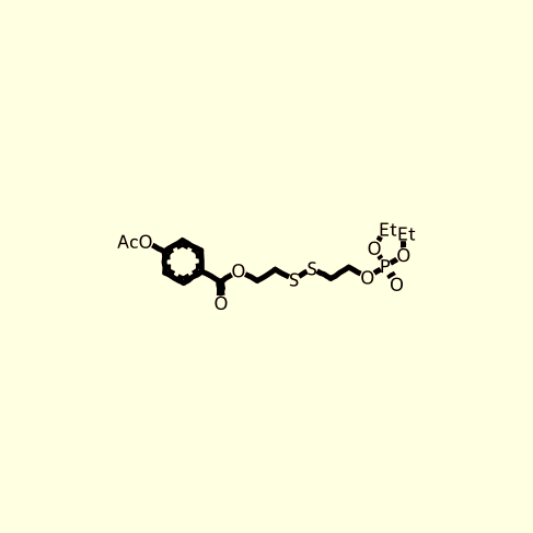 CCOP(=O)(OCC)OCCSSCCOC(=O)c1ccc(OC(C)=O)cc1